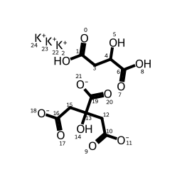 O=C(O)CC(O)C(=O)O.O=C([O-])CC(O)(CC(=O)[O-])C(=O)[O-].[K+].[K+].[K+]